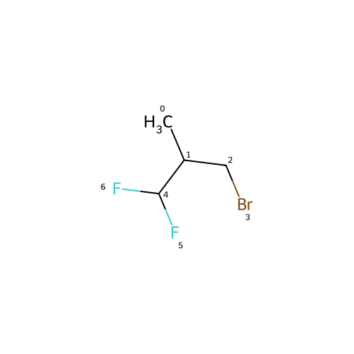 CC(CBr)C(F)F